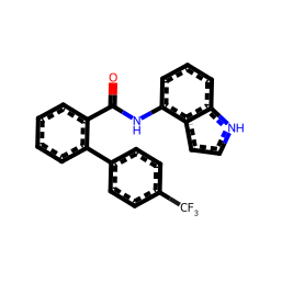 O=C(Nc1cccc2[nH]ccc12)c1ccccc1-c1ccc(C(F)(F)F)cc1